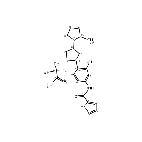 Cc1cc(NC(=O)c2cccs2)ccc1N1CCC(N2CCCC2C)C1.O=C(O)C(F)(F)F